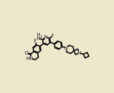 Nc1nc(F)c(-c2ccc(N3CCC4(CC3)CN(C3CCC3)C4)cc2)cc1-c1cc2c(cc1F)C(=O)NCC2